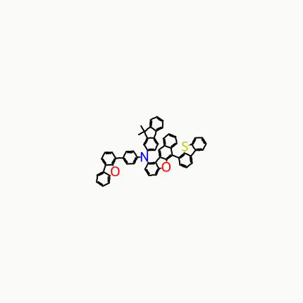 CC1(C)c2ccccc2-c2ccc(N(c3ccc(-c4cccc5c4oc4ccccc45)cc3)c3cccc4oc5c(-c6cccc7c6sc6ccccc67)c6ccccc6cc5c34)cc21